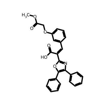 COC(=O)COc1cccc(C=C(C(=O)O)c2nc(-c3ccccc3)c(-c3ccccc3)o2)c1